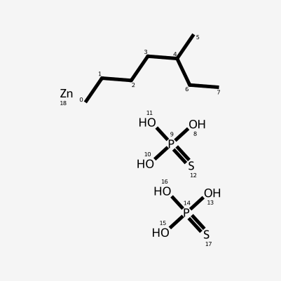 CCCCC(C)CC.OP(O)(O)=S.OP(O)(O)=S.[Zn]